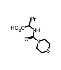 CC(C)C(NC(=O)N1CCSCC1)C(=O)O